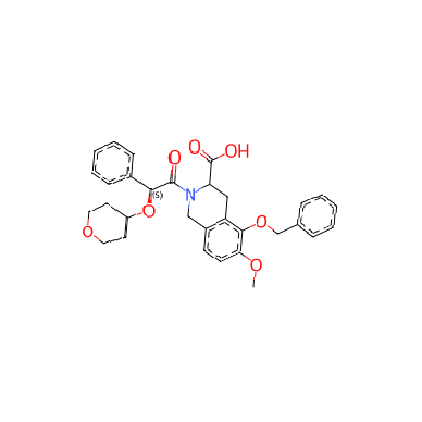 COc1ccc2c(c1OCc1ccccc1)CC(C(=O)O)N(C(=O)[C@@H](OC1CCOCC1)c1ccccc1)C2